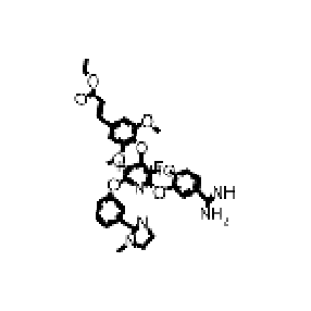 CCOC(=O)/C=C/c1cc(OC)c(Oc2c(F)c(Oc3cccc(C4=NCCN4C)c3)nc(Oc3cc(C(=N)N)ccc3O)c2F)c(OC)c1